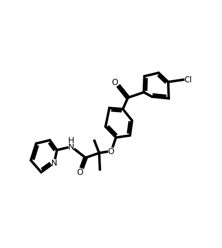 CC(C)(Oc1ccc(C(=O)c2ccc(Cl)cc2)cc1)C(=O)Nc1ccccn1